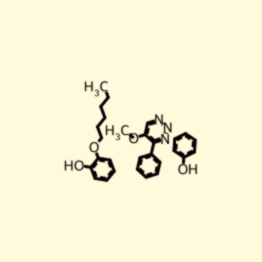 CCCCCCOc1ccccc1O.COc1cnnnc1-c1ccccc1.Oc1ccccc1